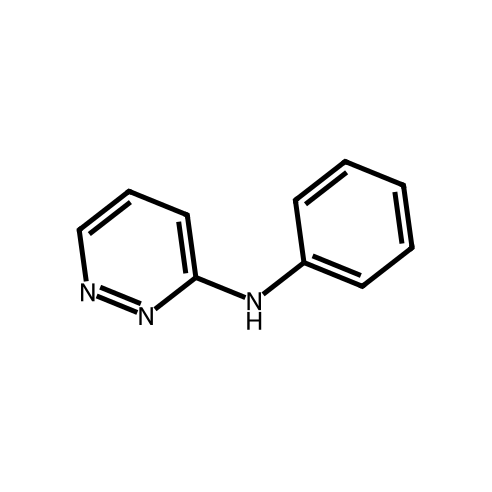 c1ccc(Nc2cccnn2)cc1